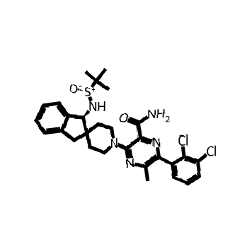 Cc1nc(N2CCC3(CC2)Cc2ccccc2[C@H]3N[S@+]([O-])C(C)(C)C)c(C(N)=O)nc1-c1cccc(Cl)c1Cl